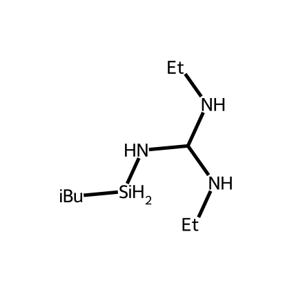 CCNC(NCC)N[SiH2]C(C)CC